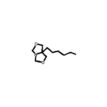 CCCCCCC12COCN1COC2